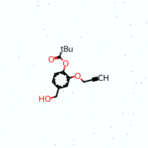 C#CCOc1cc(CO)ccc1OC(=O)C(C)(C)C